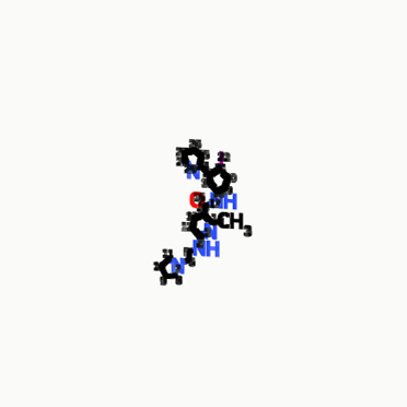 Cc1nc(NCCN2CCCC2)ccc1C(=O)Nc1ccc(I)c(-c2ccccn2)c1